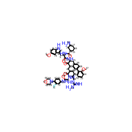 COc1ccc2[nH]cc(C[C@H](NC(=O)[C@H]3CCC[C@H](N)C3)C(=O)N[C@@H](Cc3ccc(-c4ccccc4OC)cc3)C(=O)CC[C@@H](CCCCNC(=N)N)C(=O)NCC(=O)Nc3ccc(N4CCOCC4)c(F)c3)c2c1